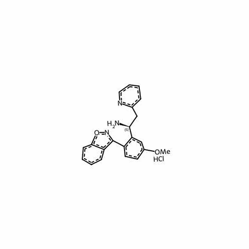 COc1ccc(-c2noc3ccccc23)c([C@@H](N)Cc2ccccn2)c1.Cl